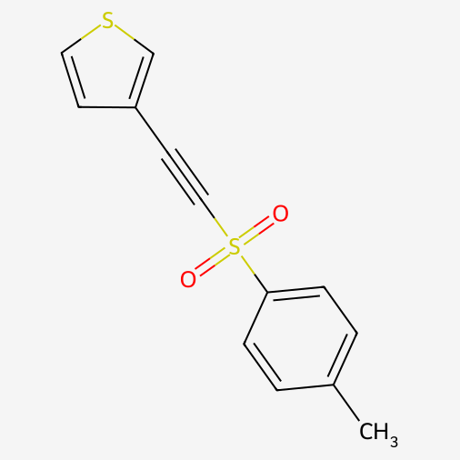 Cc1ccc(S(=O)(=O)C#Cc2ccsc2)cc1